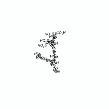 CC(C)(C)OC(=O)CCC(=O)NC(CCC(=O)NCCOCCOCC(=O)NC(CCC(=O)NC(CCC(=O)O)C(=O)O)C(=O)NC(CCC(=O)O)C(=O)O)C(=O)NCCOCCOCCNC(=O)OC(C)(C)C